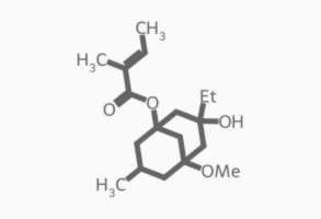 CC=C(C)C(=O)OC12CC(C)CC(OC)(CC(O)(CC)C1)C2